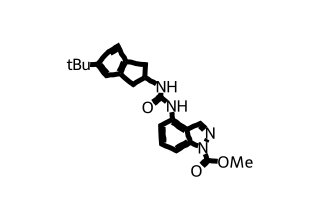 COC(=O)n1ncc2c(NC(=O)NC3Cc4ccc(C(C)(C)C)cc4C3)cccc21